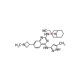 Cc1cc(Nc2nc(NC3CC4CCCC(C3)N4CCC#N)nc3cc(C4CN(C)C4)ccc23)n[nH]1